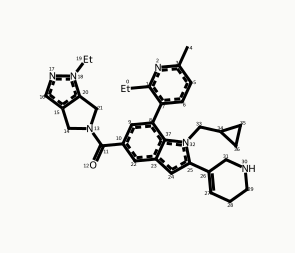 CCc1nc(C)ccc1-c1cc(C(=O)N2Cc3cnn(CC)c3C2)cc2cc(C3=CCCNC3)n(CC3CC3)c12